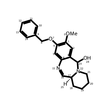 COc1cc2c(cc1OCc1ccccc1)N=C[C@@H]1CCCCN1C2O